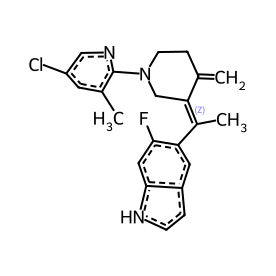 C=C1CCN(c2ncc(Cl)cc2C)C/C1=C(/C)c1cc2cc[nH]c2cc1F